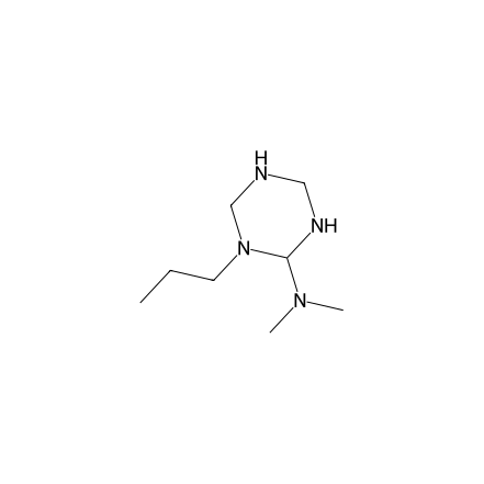 CCCN1CNCNC1N(C)C